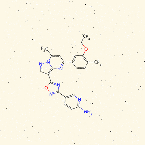 Nc1ccc(-c2noc(-c3cnn4c(C(F)(F)F)cc(-c5ccc(C(F)(F)F)c(OCC(F)(F)F)c5)nc34)n2)cn1